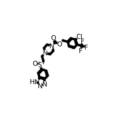 O=C(OCc1ccc(C(F)(F)F)c(Cl)c1)N1CCN(CC[S+]([O-])c2ccc3nn[nH]c3c2)CC1